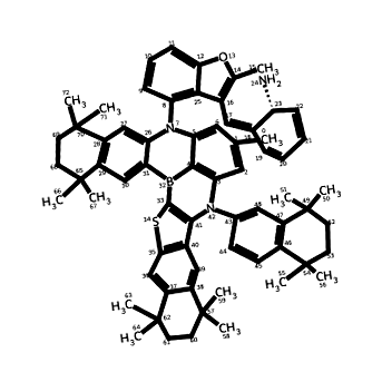 Cc1cc2c3c(c1)N(c1cccc4oc(C)c(/C=C5/C=CC=C[C@H]5N)c14)c1cc4c(cc1B3c1sc3cc5c(cc3c1N2c1ccc2c(c1)C(C)(C)CCC2(C)C)C(C)(C)CCC5(C)C)C(C)(C)CCC4(C)C